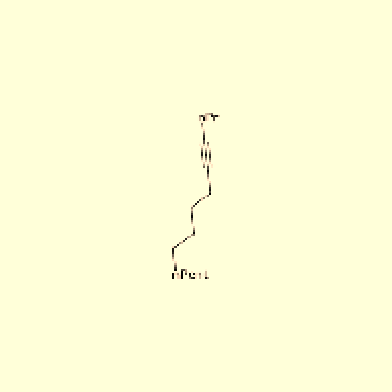 [CH2]CCC#CCCCCCCCC[CH2]